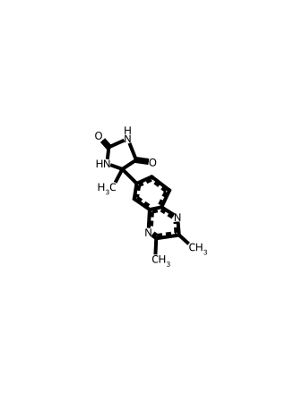 Cc1nc2ccc(C3(C)NC(=O)NC3=O)cc2nc1C